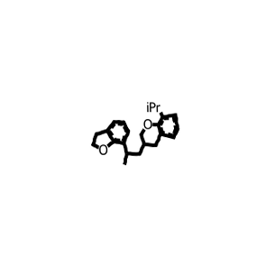 CC(C)c1cccc2c1OCC(CC(C)c1cccc3c1OCC3)C2